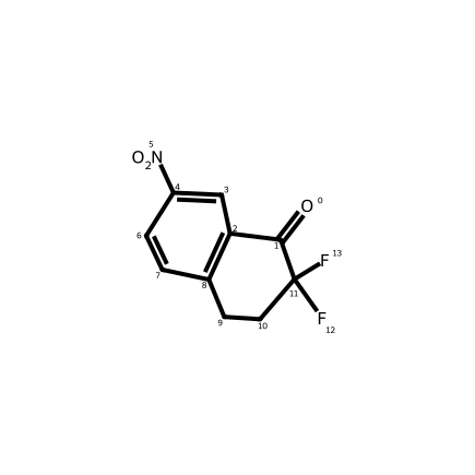 O=C1c2cc([N+](=O)[O-])ccc2CCC1(F)F